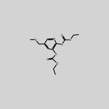 CCOC(=O)Oc1cc(COC)cnc1OC(=O)OCC